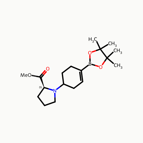 COC(=O)[C@@H]1CCCN1C1CC=C(B2OC(C)(C)C(C)(C)O2)CC1